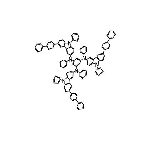 c1ccc(-c2ccc(-c3ccc4c(c3)c3cc(N(c5ccccc5)c5cc(N(c6ccccc6)c6ccc7c(c6)c6cc(-c8ccc(-c9ccccc9)cc8)ccc6n7-c6ccccc6)cc(N(c6ccccc6)c6ccc7c(c6)c6cc(-c8ccc(-c9ccccc9)cc8)ccc6n7-c6ccccc6)c5)ccc3n4-c3ccccc3)cc2)cc1